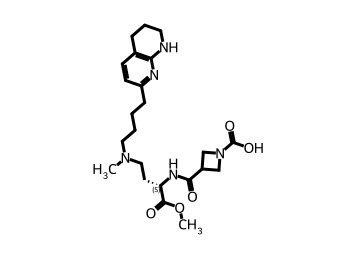 COC(=O)[C@H](CCN(C)CCCCc1ccc2c(n1)NCCC2)NC(=O)C1CN(C(=O)O)C1